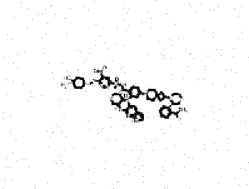 CC(C)c1ccccc1[C@@H]1COCCN1C1CC2(CCN(c3ccc(C(=O)NS(=O)(=O)c4cc([N+](=O)[O-])c(NC[C@H]5CC[C@](C)(O)CC5)nn4)c(N4c5cc6cc[nH]c6nc5O[C@H]5COCC[C@@H]54)c3)CC2)C1